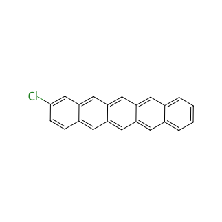 Clc1ccc2cc3cc4cc5ccccc5cc4cc3cc2c1